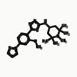 COc1cc(-n2cccn2)ccc1-c1nnc(NC2CC(C)(C)N(C)C(C)(C)C2)s1